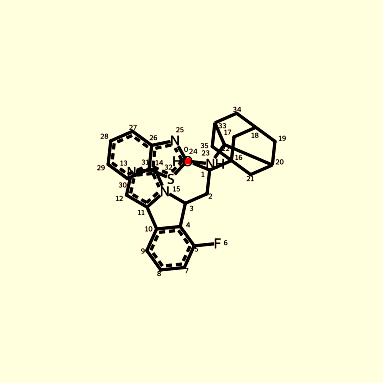 OC(CC1c2c(F)cccc2-c2cncn21)C12CC3CC(C1)C(Nc1nc4ccccc4s1)C(C3)C2